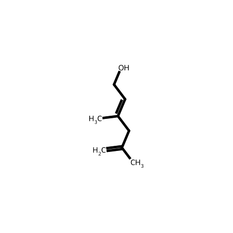 C=C(C)C/C(C)=C/CO